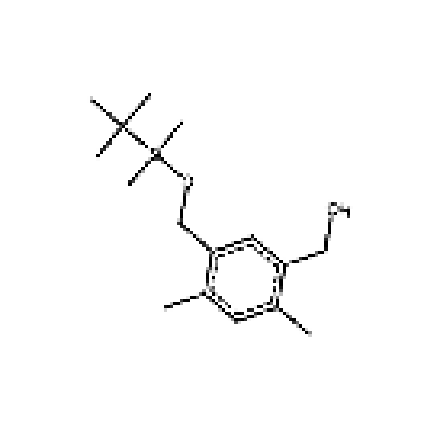 Cc1cc(C)c(CO[Si](C)(C)C(C)(C)C)cc1CO